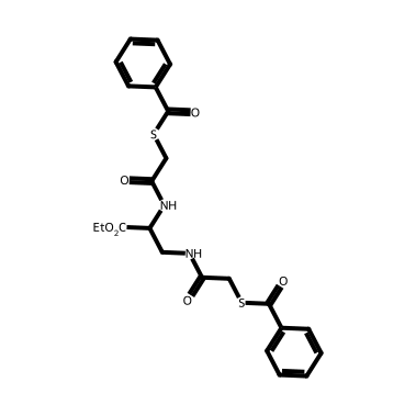 CCOC(=O)C(CNC(=O)CSC(=O)c1ccccc1)NC(=O)CSC(=O)c1ccccc1